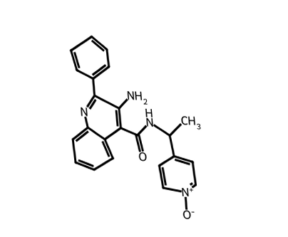 CC(NC(=O)c1c(N)c(-c2ccccc2)nc2ccccc12)c1cc[n+]([O-])cc1